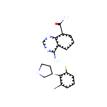 NC(=O)c1cccc2c(N[C@H]3CNC[C@@H]3c3c(F)cccc3Cl)ncnc12